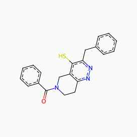 O=C(c1ccccc1)N1CCc2nnc(Cc3ccccc3)c(S)c2C1